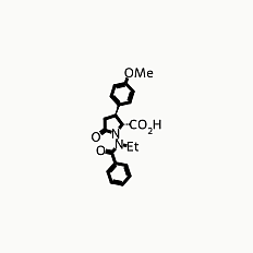 CCN(C(=O)c1ccccc1)N1C(=O)C[C@@H](c2ccc(OC)cc2)[C@@H]1C(=O)O